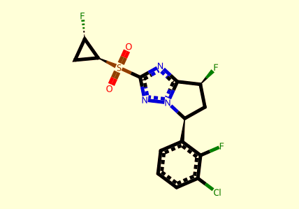 O=S(=O)(c1nc2n(n1)[C@H](c1cccc(Cl)c1F)C[C@@H]2F)[C@H]1C[C@@H]1F